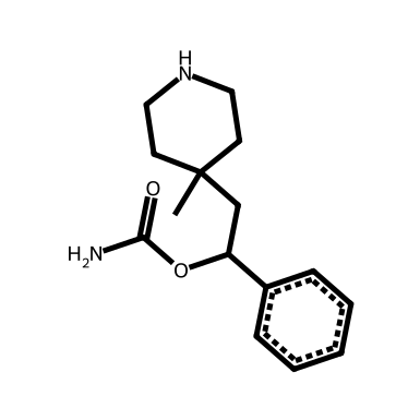 CC1(CC(OC(N)=O)c2ccccc2)CCNCC1